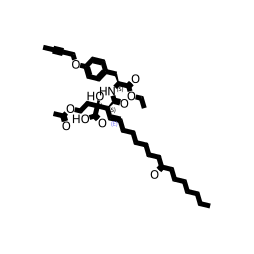 CC#CCOc1ccc(C[C@H](NC(=O)[C@@H](/C=C/CCCCCCC(=O)CCCCCCC)[C@@](O)(CCOC(C)=O)C(=O)O)C(=O)OCC)cc1